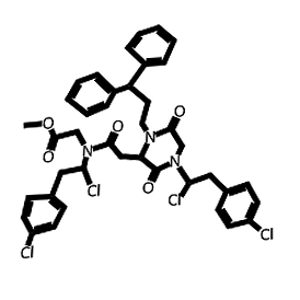 COC(=O)CN(C(=O)CC1C(=O)N(C(Cl)Cc2ccc(Cl)cc2)CC(=O)N1CCC(c1ccccc1)c1ccccc1)C(Cl)Cc1ccc(Cl)cc1